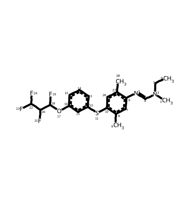 CCN(C)C=Nc1cc(C)c(Sc2cccc(OC(F)C(F)C(F)F)c2)cc1C